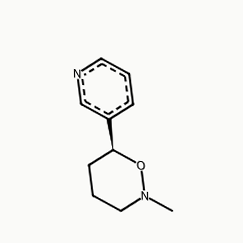 CN1CCC[C@@H](c2cccnc2)O1